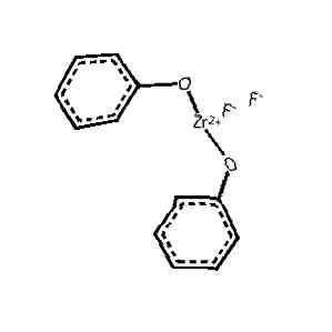 [F-].[F-].c1ccc([O][Zr+2][O]c2ccccc2)cc1